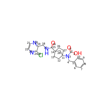 O=C(O)N(Cc1ccccc1)C12CCC(C(=O)NCc3nccnc3Cl)(CC1)C2